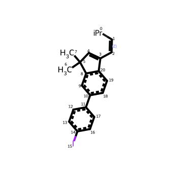 CC(C)/C=C\C1=CC(C)(C)c2cc(-c3ccc(I)cc3)ccc21